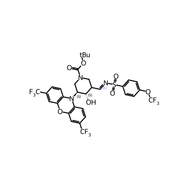 CC(C)(C)OC(=O)N1CC(/C=N/S(=O)(=O)c2ccc(OC(F)(F)F)cc2)[C@H](O)[C@@H](N2c3ccc(C(F)(F)F)cc3Oc3cc(C(F)(F)F)ccc32)C1